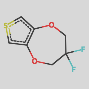 FC1(F)COc2cscc2OC1